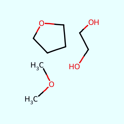 C1CCOC1.COC.OCCO